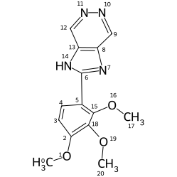 COc1ccc(-c2nc3cnncc3[nH]2)c(OC)c1OC